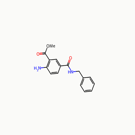 COC(=O)c1cc(C(=O)NCc2ccccc2)ccc1N